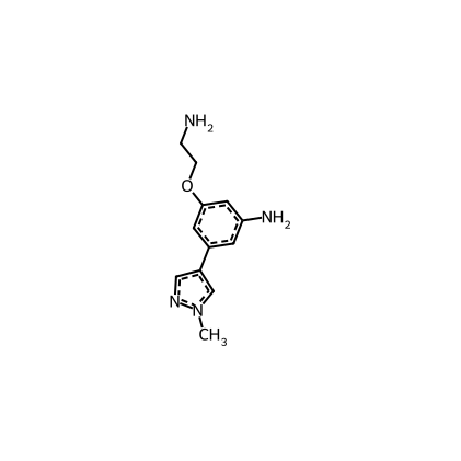 Cn1cc(-c2cc(N)cc(OCCN)c2)cn1